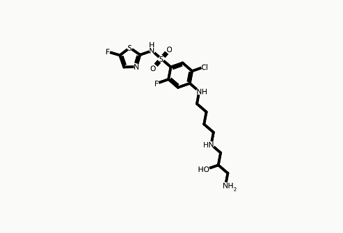 NCC(O)CNCCCCNc1cc(F)c(S(=O)(=O)Nc2ncc(F)s2)cc1Cl